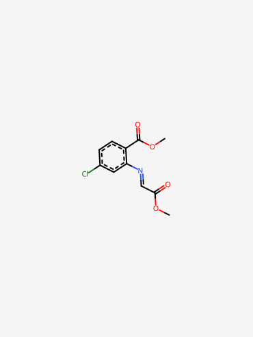 COC(=O)C=Nc1cc(Cl)ccc1C(=O)OC